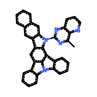 Cc1nc(-n2c3cc4ccccc4cc3c3cc4c5ccccc5n5c6ccccc6c(c32)c45)nc2cccnc12